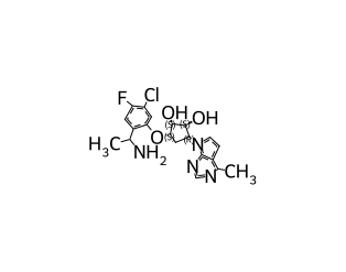 Cc1ncnc2c1ccn2[C@@H]1C[C@H](Oc2cc(Cl)c(F)cc2C(C)N)[C@@H](O)[C@H]1O